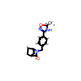 O=C1C2CCC(C2)N1Cc1ccc(C2=NOC(C(F)(F)F)N2)cc1